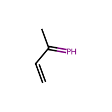 C=CC(C)=P